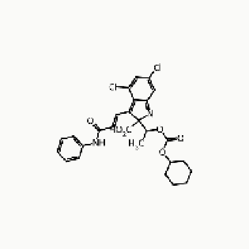 CC(OC(=O)OC1CCCCC1)C1(C(=O)O)N=c2cc(Cl)cc(Cl)c2=C1C=CC(=O)Nc1ccccc1